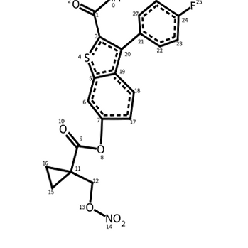 CC(C)C(=O)c1sc2cc(OC(=O)C3(CO[N+](=O)[O-])CC3)ccc2c1-c1ccc(F)cc1